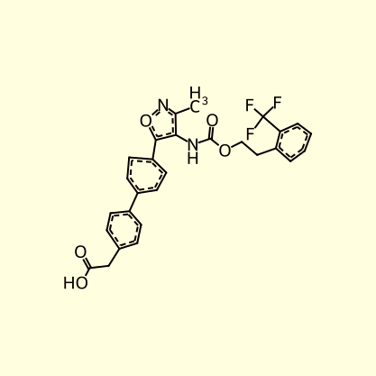 Cc1noc(-c2ccc(-c3ccc(CC(=O)O)cc3)cc2)c1NC(=O)OCCc1ccccc1C(F)(F)F